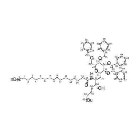 CCCCCCCCCCCCCCCCCCCCCCCCCC(=O)N[C@@H](C[C@@H]1O[C@H](COCc2ccccc2)[C@H](OCc2ccccc2)[C@H](OCc2ccccc2)[C@H]1OCc1ccccc1)[C@H](O)C=CCC(C)(C)C